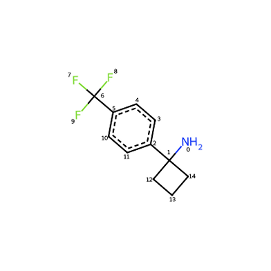 NC1(c2ccc(C(F)(F)F)cc2)CCC1